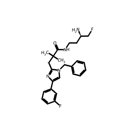 CC(C)([CH]c1nc(-c2cccc(F)c2)cn1Cc1ccccc1)C(=O)NCC[C@@H](N)CF